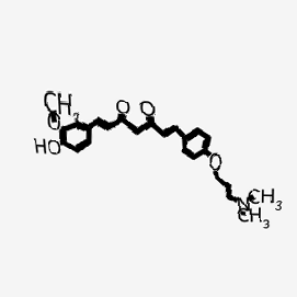 COc1cc(/C=C/C(=O)CC(=O)/C=C/c2ccc(OCCCN(C)C)cc2)ccc1O